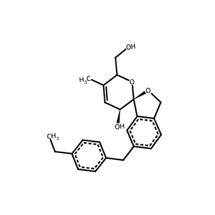 CCc1ccc(Cc2ccc3c(c2)[C@@]2(OC3)OC(CO)C(C)=C[C@@H]2O)cc1